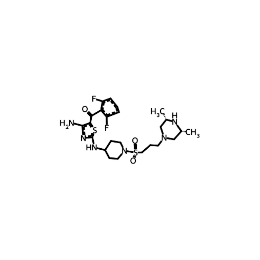 C[C@@H]1CN(CCCS(=O)(=O)N2CCC(Nc3nc(N)c(C(=O)c4c(F)cccc4F)s3)CC2)C[C@H](C)N1